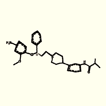 COc1cc(N)ccc1O[C@@H](CCN1CCC(c2cccc(NC(=O)C(C)C)c2)CC1)c1ccccc1